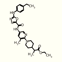 CCOC(=O)C(C)C1CCN(c2ncc(NC(=O)c3nnc(Nc4ccc(CC)cc4)o3)cc2C)CC1